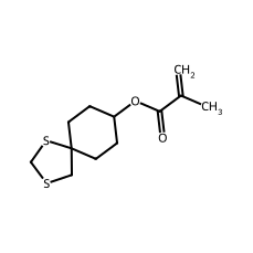 C=C(C)C(=O)OC1CCC2(CC1)CSCS2